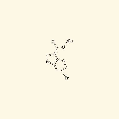 CC(C)(C)OC(=O)n1cnc2cc(Br)cnc21